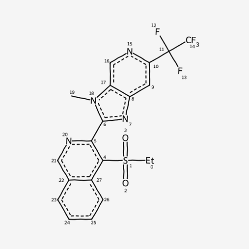 CCS(=O)(=O)c1c(-c2nc3cc(C(F)(F)C(F)(F)F)ncc3n2C)ncc2ccccc12